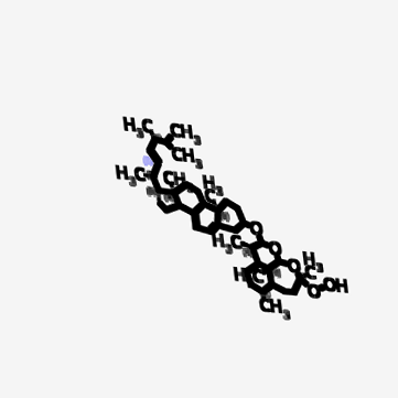 CC(C)[C@@H](C)/C=C/[C@@H](C)[C@H]1CCC2C3=CC=C4CC(OC5OC6O[C@@](C)(OO)CCC7[C@H](C)CCC([C@H]5C)[C@]67C)CC[C@]4(C)C3CC[C@@]21C